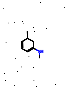 CNC1=CC=CC(C)C1